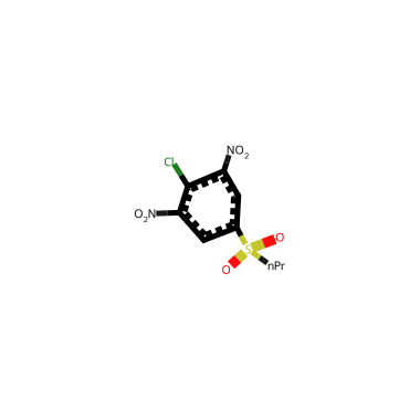 CCCS(=O)(=O)c1cc([N+](=O)[O-])c(Cl)c([N+](=O)[O-])c1